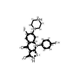 O=c1[nH]sc2c1c(=O)c1cc(F)c(N3CCNCC3)cc1n2-c1ccc(F)cc1